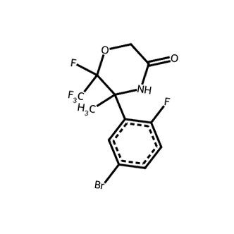 CC1(c2cc(Br)ccc2F)NC(=O)COC1(F)C(F)(F)F